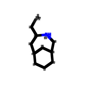 CC(C)CC1CC2CCCC(CN1)C2